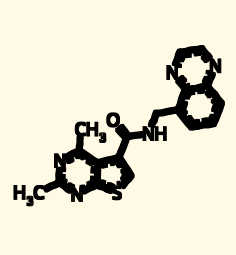 Cc1nc(C)c2c(C(=O)NCc3cccc4nccnc34)csc2n1